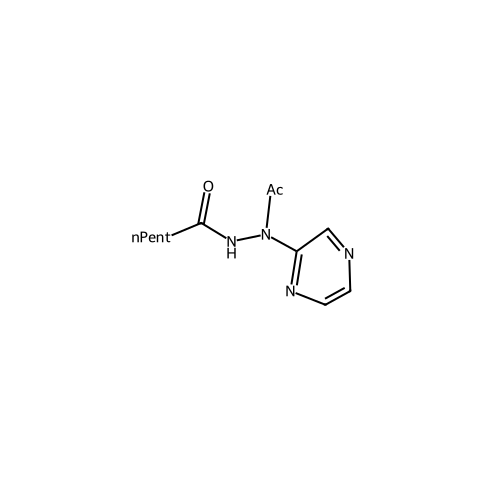 CCCCCC(=O)NN(C(C)=O)c1cnccn1